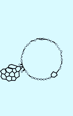 O=C1OCCOCCOCCOC2CCC(CC2)OCCOCCOCCOCCOC2CCC(CC2)OCCOCCOCCOC(=O)C12C1C3CCC4=C5C3C3C(CC6CC7CC8CCC9CCC4=C4C9C8C8C4C5C3C6C78)C12